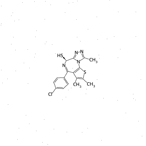 Cc1sc2c(c1C)C(c1ccc(Cl)cc1)=N[C@@H](S)c1nnc(C)n1-2